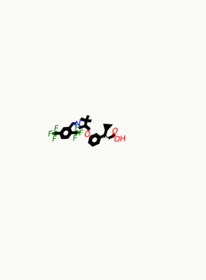 CC1(C)CN(Cc2cc(C(F)(F)F)ccc2C(F)(F)F)CC1COc1cccc([C@@H](CC(=O)O)C2CC2)c1